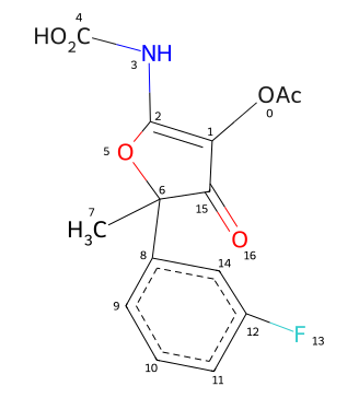 CC(=O)OC1=C(NC(=O)O)OC(C)(c2cccc(F)c2)C1=O